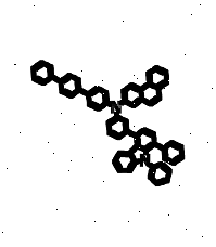 c1ccc(-c2ccc(-c3ccc(N(c4cccc(-c5ccc(-c6ccccc6)c6c5c5ccccc5n6-c5ccccc5)c4)c4ccc5c(ccc6ccccc65)c4)cc3)cc2)cc1